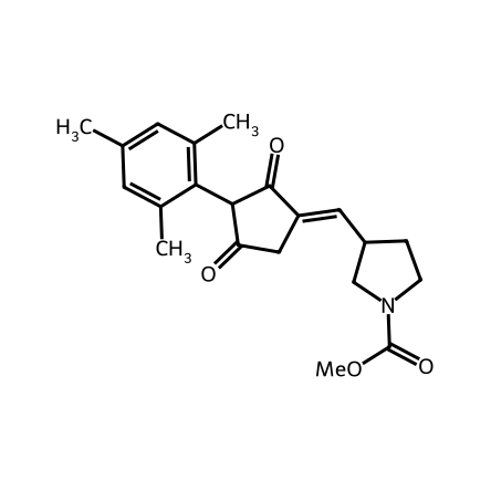 COC(=O)N1CCC(/C=C2\CC(=O)C(c3c(C)cc(C)cc3C)C2=O)C1